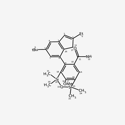 CCC1=Cc2cc(C(C)(C)C)cc(-c3c(C([NH])=O)cc4c(OC)c3[Si](C)(C)O[Si]4(C)C)c2C1